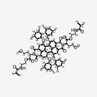 C=C(C)C(=O)NCCOC(=O)C(CCOC)N1C(=O)c2cc(Oc3cc(C)cc(C)c3)c3c4c(Oc5cc(C)cc(C)c5)cc5c6c(cc(Oc7cc(C)cc(C)c7)c(c7c(Oc8cc(C)cc(C)c8)cc(c2c37)C1=O)c64)C(=O)N(C(CCOC)C(=O)OCCNC(=O)C(=C)C)C5=O